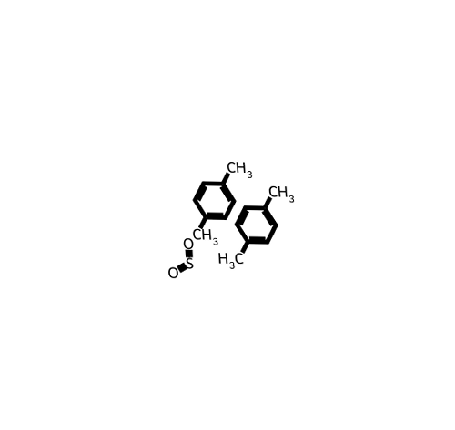 Cc1ccc(C)cc1.Cc1ccc(C)cc1.O=S=O